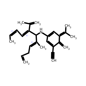 C#Cc1cc(NC(/C(C)=C/CC=C)/C(=C/C=C\C)C(=C)C)cc(=C(C)C)c1=C